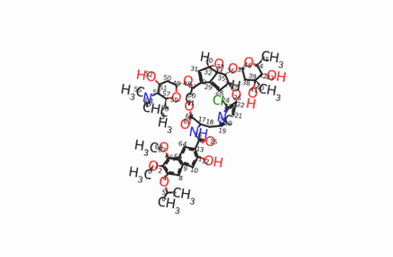 COc1c(OC(C)C)cc2cc(O)c(C(=O)NC3Cc4ccc(c(Cl)n4)O[C@H]4C=C5C(=C[C@@H]6O[C@]56[C@@H]4O[C@H]4C[C@@](C)(O)[C@@H](O)[C@H](C)O4)C(O[C@H]4C[C@H](O)[C@H](N(C)C)[C@H](C)O4)COC3=O)cc2c1OC